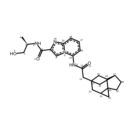 C[C@H](CO)NC(=O)c1cn2c(NC(=O)CC34CC5CCC6(CC6C3)C5C4)cccc2n1